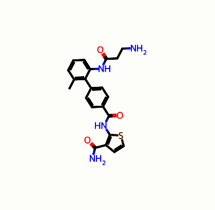 Cc1cccc(NC(=O)CCN)c1-c1ccc(C(=O)Nc2sccc2C(N)=O)cc1